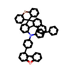 c1ccc(-c2ccc(N(c3ccc(-c4cccc5oc6ccccc6c45)cc3)c3cccc4c3-c3c(ccc5ccccc35)C43c4ccccc4Sc4ccccc43)cc2)cc1